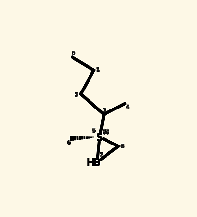 CCCC(C)[S@]1(C)BC1